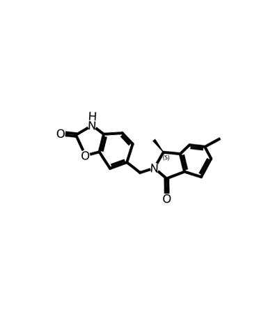 Cc1ccc2c(c1)[C@H](C)N(Cc1ccc3[nH]c(=O)oc3c1)C2=O